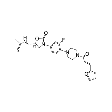 CC(=S)NC[C@H]1CN(c2ccc(N3CCN(C(=O)C=Cc4ccco4)CC3)c(F)c2)C(=O)O1